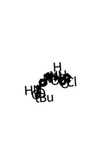 CC(C)(C)OC(=O)NC(C)(C)c1ccc(-n2ccc(NC(=O)N[C@H]3CCOc4c(Cl)cccc43)n2)cc1